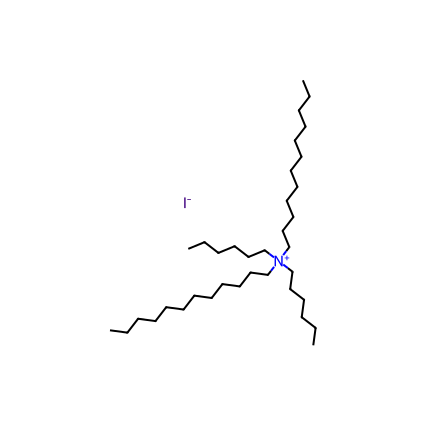 CCCCCCCCCCCC[N+](CCCCCC)(CCCCCC)CCCCCCCCCCCC.[I-]